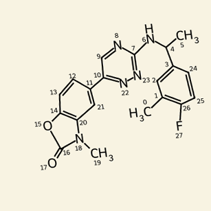 Cc1cc(C(C)Nc2ncc(-c3ccc4oc(=O)n(C)c4c3)nn2)ccc1F